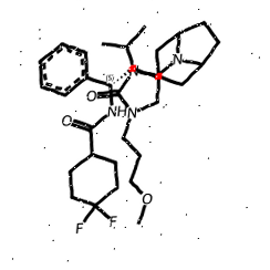 COCCCN1CC2(CC3CCC(C2)N3CC[C@H](NC(=O)C2CCC(F)(F)CC2)c2ccccc2)N(C(C)C)C1=O